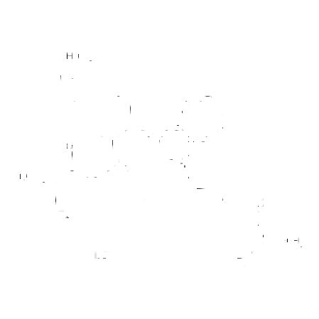 C=C(C)C(=O)OCOn1c2ccccc2c2c(OCCC)c(OCCC)c(OC(=O)C(=C)C)c(OCCC)c21